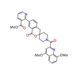 COC(=O)c1cccnc1-c1ccc2c(c1)C(=O)OC1(CCN(C(=O)c3cc(OC)c4cccc(OC)c4n3)CC1)C2